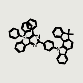 CC1(C)c2ccccc2-c2c1ccc1c3ccccc3n(-c3ccc(-c4nc(-c5ccccc5)c5c(n4)-c4ccccc4[Si]5(c4ccccc4)c4ccccc4)cc3)c21